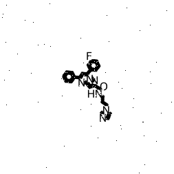 O=C(NCCCn1ccnc1)c1cc2nc(-c3ccccc3)cc(-c3cccc(F)c3)n2n1